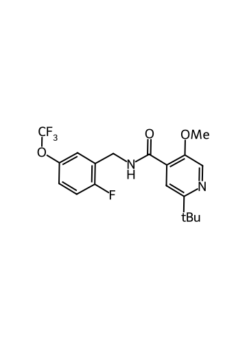 COc1cnc(C(C)(C)C)cc1C(=O)NCc1cc(OC(F)(F)F)ccc1F